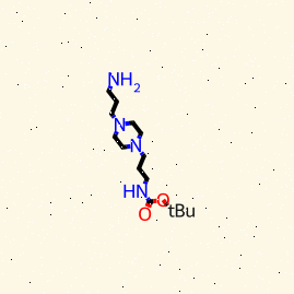 CC(C)(C)OC(=O)NCCCN1CCN(CCCN)CC1